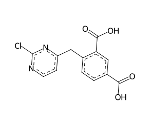 O=C(O)c1ccc(Cc2ccnc(Cl)n2)c(C(=O)O)c1